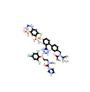 CCCCC(=O)N(Cc1ccc(-c2ccccc2-c2nnn[nH]2)cc1)[C@H](C(=O)O)C(C)C.CCCN(CCOc1c(Cl)cc(Cl)cc1Cl)C(=O)n1ccnc1.NS(=O)(=O)c1cc2c(cc1Cl)NCNS2(=O)=O